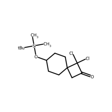 CC(C)(C)[Si](C)(C)OC1CCC2(CC1)CC(=O)C2(Cl)Cl